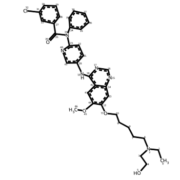 CCN(CCO)CCCCCOc1cc2ncnc(Nc3ccc(N(C(=O)c4cccc(Cl)c4)c4ccccc4)nc3)c2cc1OC